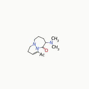 CC(=O)C1=CCCN2CCCC(N(C)C)C(=O)N12